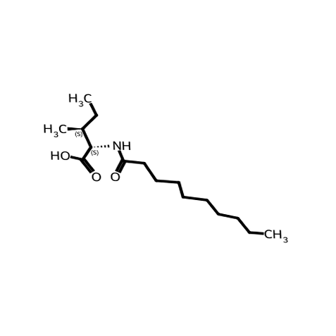 CCCCCCCCCC(=O)N[C@H](C(=O)O)[C@@H](C)CC